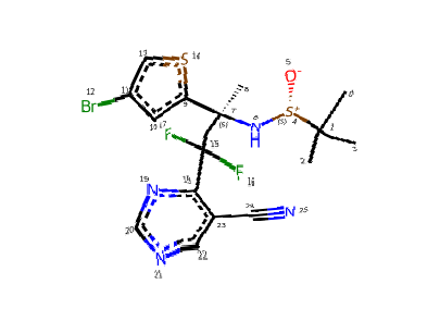 CC(C)(C)[S@@+]([O-])N[C@](C)(c1cc(Br)cs1)C(F)(F)c1ncncc1C#N